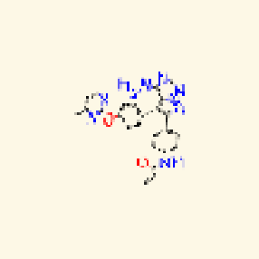 C=CC(=O)Nc1ccc(-c2nn3ncnc(N)c3c2-c2ccc(Oc3nccc(C)n3)cc2)cc1